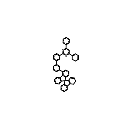 C1=CCCC(c2cc(-c3ccccc3)nc(-c3cccc(-c4cccc(-c5cccc6c5-c5ccccc5C65C6=C(CCC=C6)c6ccccc65)c4)c3)n2)=C1